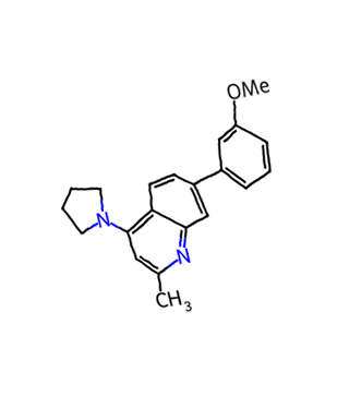 COc1cccc(-c2ccc3c(N4CCCC4)cc(C)nc3c2)c1